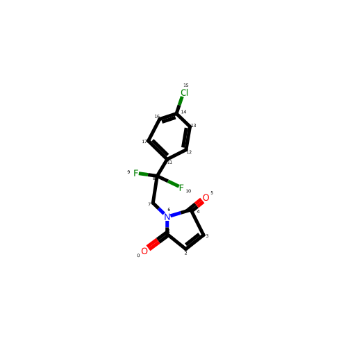 O=C1C=CC(=O)N1CC(F)(F)c1ccc(Cl)cc1